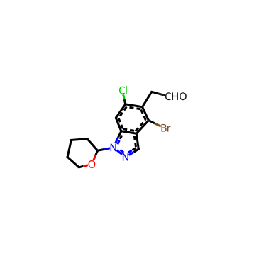 O=CCc1c(Cl)cc2c(cnn2C2CCCCO2)c1Br